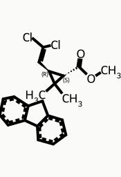 COC(=O)[C@H]1[C@H](C=C(Cl)Cl)C1(C)C.c1ccc2c(c1)Cc1ccccc1-2